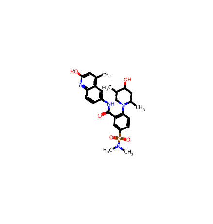 Cc1cc(O)nc2ccc(NC(=O)c3cc(S(=O)(=O)N(C)C)ccc3N3CC(C)C(O)CC3C)cc12